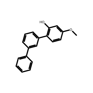 COc1ccc(-c2cccc(-c3ccccc3)c2)c(O)c1